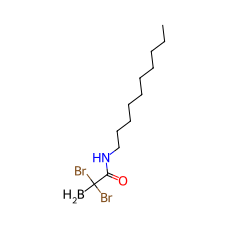 BC(Br)(Br)C(=O)NCCCCCCCCCC